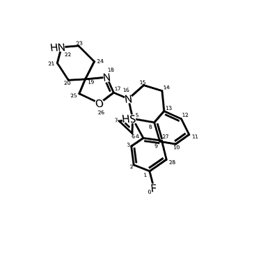 Fc1ccc([SH]23(C=C2)c2ccccc2CCN3C2=NC3(CCNCC3)CO2)cc1